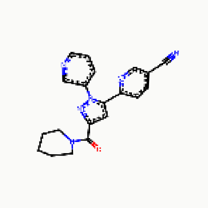 N#Cc1ccc(-c2cc(C(=O)N3CCCCC3)nn2-c2cccnc2)nc1